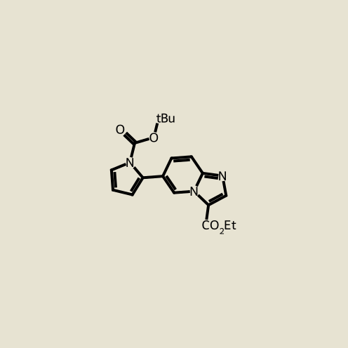 CCOC(=O)c1cnc2ccc(-c3cccn3C(=O)OC(C)(C)C)cn12